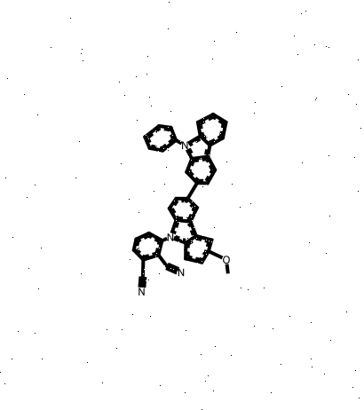 COc1ccc2c(c1)c1cc(-c3ccc4c5ccccc5n(-c5ccccc5)c4c3)ccc1n2-c1cccc(C#N)c1C#N